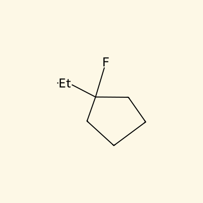 C[CH]C1(F)CCCC1